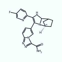 NC(=O)c1nnc2ccc(C3=C(c4ccc(F)cn4)NC4C5CC[C@H](C5)N34)cn12